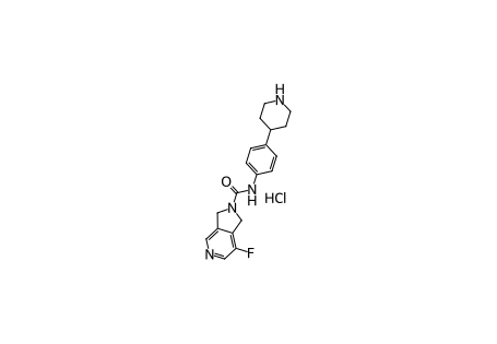 Cl.O=C(Nc1ccc(C2CCNCC2)cc1)N1Cc2cncc(F)c2C1